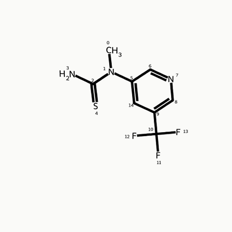 CN(C(N)=S)c1cncc(C(F)(F)F)c1